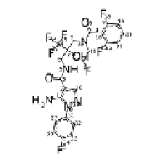 Nc1c(C(=O)NCC(O)(CN(CCF)C(=O)c2c(F)cccc2F)C(F)(F)F)cnn1-c1ccc(F)cc1